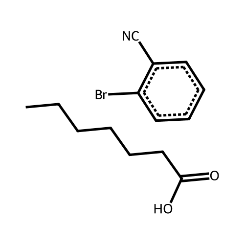 CCCCCCC(=O)O.N#Cc1ccccc1Br